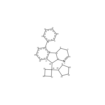 C1=NC2C(CC1)c1c(-c3ccccc3)cccc1C2C1(C2CCCC2)CCC1